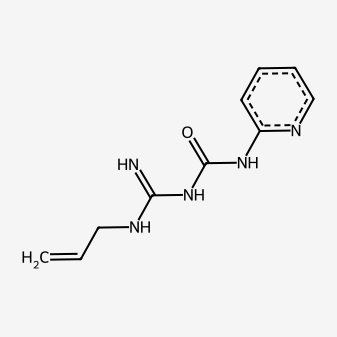 C=CCNC(=N)NC(=O)Nc1ccccn1